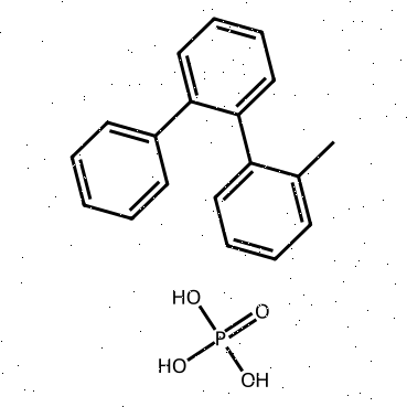 Cc1ccccc1-c1ccccc1-c1ccccc1.O=P(O)(O)O